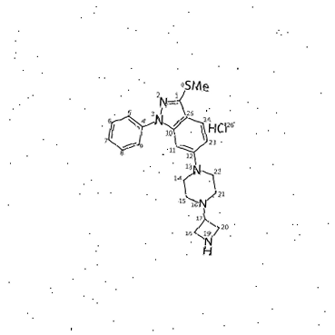 CSc1nn(-c2ccccc2)c2cc(N3CCN(C4CNC4)CC3)ccc12.Cl